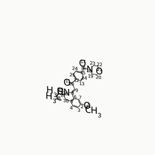 COc1ccc2c(c1)/C(=C/C(=O)c1ccc(C(=O)N3CCOCC3)cc1)NC(C)(C)C2